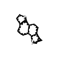 c1cc2ccc3c(ccc4ccsc43)c2s1